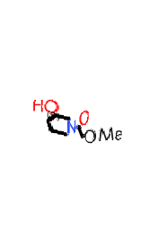 COCC(=O)N1CCC[C@H](O)C1